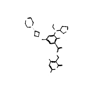 CCN(c1cc(O[C@H]2C[C@H](N3CCOCC3)C2)cc(C(O)NCc2c(C)cc(C)[nH]c2=O)c1C)C1CCOC1